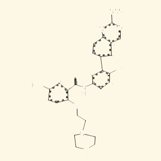 CNc1ncc2cc(-c3cc(NC(=O)c4cc(C(F)(F)F)ccc4OCCN4CCOCC4)ccc3C)ccc2n1